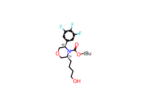 CC(C)(C)OC(=O)N1[C@@H](CCCCO)COC[C@H]1c1cc(F)c(F)c(F)c1